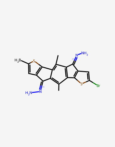 Bc1cc2/c(=N\N)c3c(C)c4c(c(C)c3c2s1)/c(=N/N)c1cc(Br)sc14